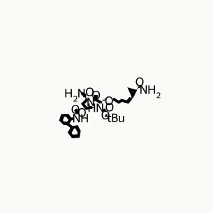 CC(C)(C)OC(=O)N[C@@H](COCCC/C=C\[C@@H]1C[C@@H]1C(N)=O)C(=O)N1C[C@H](OC(=O)Nc2ccccc2-c2ccccc2)C[C@H]1C(N)=O